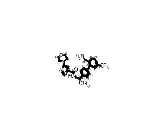 C[C@@H](NC(=O)c1cc(N2CCOCC2)ncn1)c1ccc(-c2cc(C(F)(F)F)ccc2CN)cc1